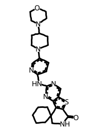 O=C1NCC2(CCCCC2)c2c1sc1cnc(Nc3ccc(N4CCC(N5CCOCC5)CC4)cn3)nc21